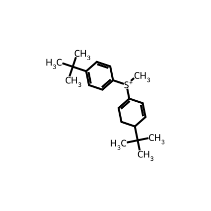 C[S+](C1=CCC(C(C)(C)C)C=C1)c1ccc(C(C)(C)C)cc1